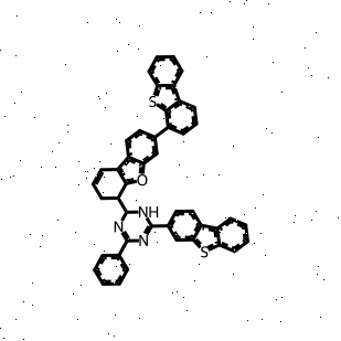 C1=Cc2c(oc3cc(-c4cccc5c4sc4ccccc45)ccc23)C(C2N=C(c3ccccc3)N=C(c3ccc4c(c3)sc3ccccc34)N2)C1